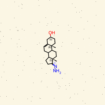 C[C@]12CC[C@H](O)CC1=CCC1C2CC[C@]2(C)/C(=N/N)CCC12